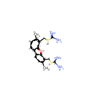 Cc1ccc2c(oc3c(CSC(=N)N)c(C)ccc32)c1CSC(=N)N